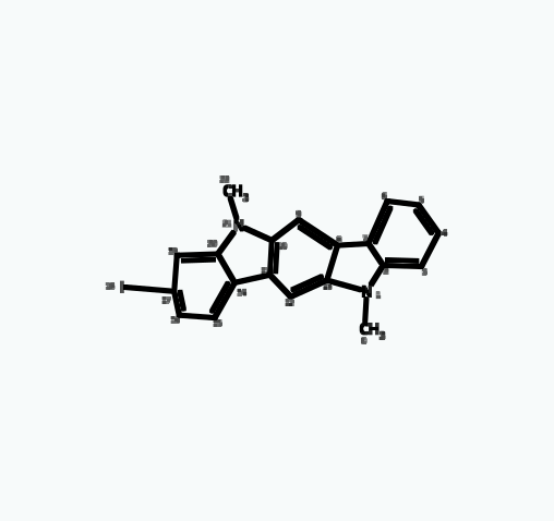 Cn1c2ccccc2c2cc3c(cc21)c1ccc(I)cc1n3C